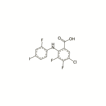 O=C(O)c1cc(Cl)c(F)c(F)c1Nc1ccc(I)cc1F